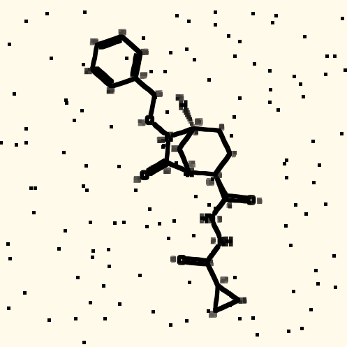 O=C(NNC(=O)[C@@H]1CC[C@H]2CN1C(=O)N2OCc1ccccc1)C1CC1